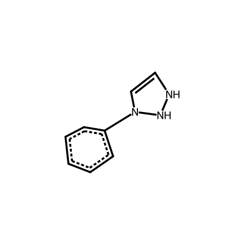 C1=CN(c2ccccc2)NN1